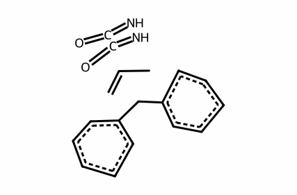 C=CC.N=C=O.N=C=O.c1ccc(Cc2ccccc2)cc1